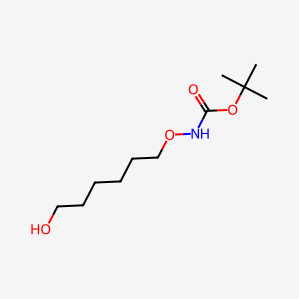 CC(C)(C)OC(=O)NOCCCCCCO